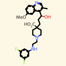 COc1ccc2ncc(C)c([C@@H](O)CCC3(C(=O)O)CCN(CCNc4cc(F)cc(F)c4)CC3)c2c1